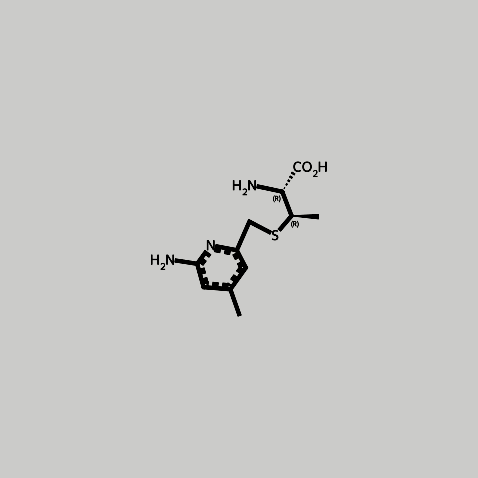 Cc1cc(N)nc(CS[C@H](C)[C@H](N)C(=O)O)c1